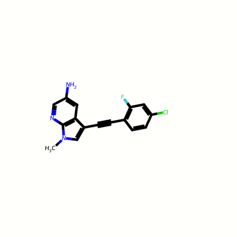 Cn1cc(C#Cc2ccc(Cl)cc2F)c2cc(N)cnc21